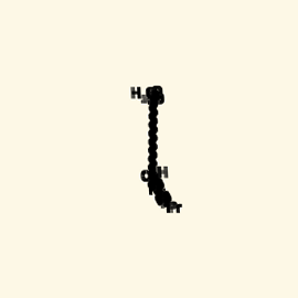 CC(C)N1CCN(c2ccc(C(=O)NCCCCCCCCCCCCCCCCOS(C)(=O)=O)cn2)CC1